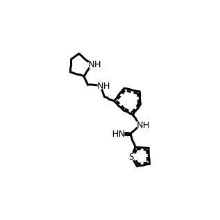 N=C(Nc1cccc(CNCC2CCCN2)c1)c1cccs1